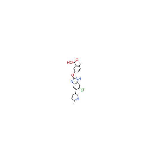 Cc1ccc(-c2cc3nc(Oc4ccc(C)c(C(=O)O)c4)[nH]c3cc2Cl)cn1